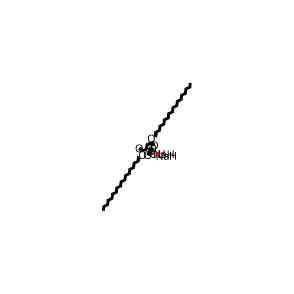 CCCCCCCCCCCCCCCCC=COC(=O)CC(C(=O)OC=CCCCCCCCCCCCCCCCC)S(=O)(=O)O.[NaH].[NaH]